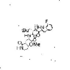 COC(=O)C(C[C@@H]1CCCNC1=O)NC(=O)[C@H](CC(C)(C)C)NC(=O)c1cc2cccc(F)c2[nH]1